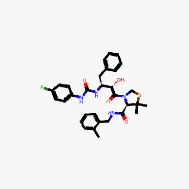 Cc1ccccc1CNC(=O)[C@H]1N(C(=O)[C@@H](O)[C@H](Cc2ccccc2)NC(=O)Nc2ccc(F)cc2)CSC1(C)C